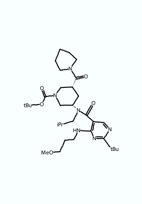 COCCCNc1nc(C(C)(C)C)ncc1C(=O)N(CC(C)C)[C@H]1C[C@@H](C(=O)N2CCCCC2)CN(C(=O)OC(C)(C)C)C1